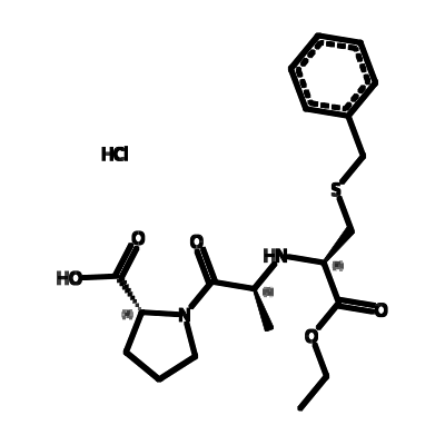 CCOC(=O)[C@H](CSCc1ccccc1)N[C@@H](C)C(=O)N1CCC[C@@H]1C(=O)O.Cl